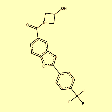 O=C(c1ccc2oc(-c3ccc(C(F)(F)F)cc3)nc2c1)N1CC(O)C1